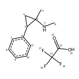 CNC1(C)CC1c1ccccc1.O=C(O)C(F)(F)F